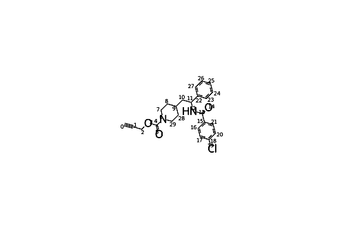 C#CCOC(=O)N1CCC(CC(NC(=O)c2ccc(Cl)cc2)c2ccccc2)CC1